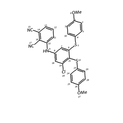 COc1ccc(Sc2cc(Nc3cccc(C#N)c3C#N)cc(Cl)c2Sc2ccc(OC)cc2)cc1